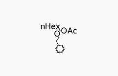 CCCCCCC(OCCc1ccccc1)OC(C)=O